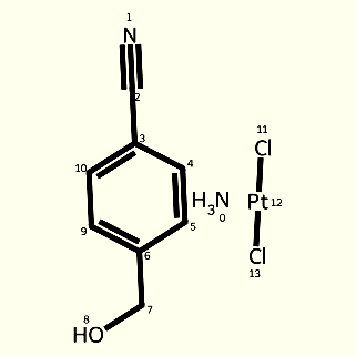 N.N#Cc1ccc(CO)cc1.[Cl][Pt][Cl]